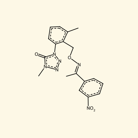 CC(=NOCc1c(C)cccc1-n1nnn(C)c1=O)c1cccc([N+](=O)[O-])c1